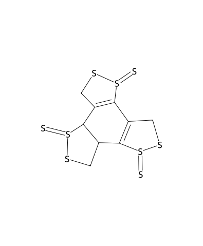 S=S1SCC2=C1C1=C(C3CSS(=S)C23)S(=S)SC1